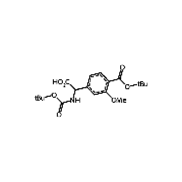 COc1cc(C(NC(=O)OC(C)(C)C)C(=O)O)ccc1C(=O)OC(C)(C)C